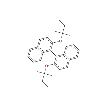 CCC(C)(C)Oc1ccc2ccccc2c1-c1c(OC(C)(C)CC)ccc2ccccc12